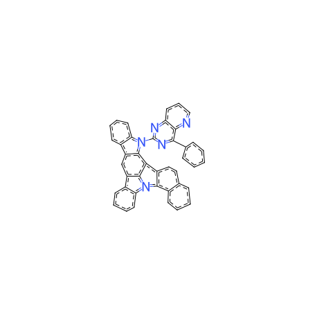 c1ccc(-c2nc(-n3c4ccccc4c4cc5c6ccccc6n6c7c8ccccc8ccc7c(c43)c56)nc3cccnc23)cc1